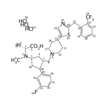 CC(C)[C@H](C(=O)O)N(C)C1CC(CN2CCC(c3cnc(Cc4ccccc4C(F)(F)F)s3)CC2)C(c2cccc(F)c2)C1.Cl.Cl.Cl